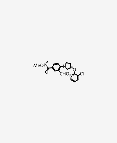 CON(C)C(=O)c1ccc(N2CC[C@H](Oc3ncccc3Cl)C2)c(C=O)c1